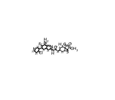 CN1C(=O)N(C)C2(CCC(=CC(=O)Nc3cc4cc(-c5cnccc5Cl)c(F)c(N)c4cn3)CC2)C1=S